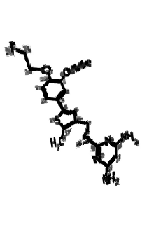 COc1cc(-c2cc(CSc3nc(N)cc(N)n3)c(C)s2)ccc1OCCF